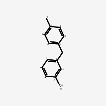 Cc1ccc(Cc2cccc(S)c2)cc1